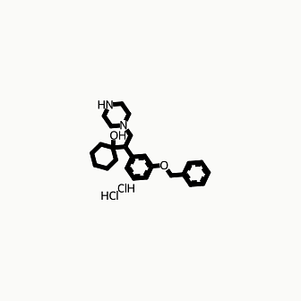 Cl.Cl.OC1(C(CN2CCNCC2)c2cccc(OCc3ccccc3)c2)CCCCC1